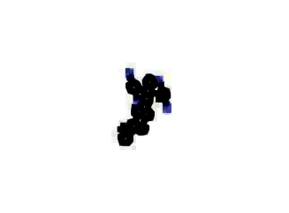 CC1(C)c2ccccc2-c2c1cc1c3ccc4c5c(ccc(c6cccc2c61)c53)-c1cc2c(-c3cc(C#N)ccc3C#N)c3ccccc3c(-c3cc(C#N)ccc3C#N)c2cc1-4